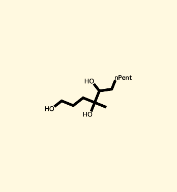 CCCCCCC(O)C(C)(O)CCCO